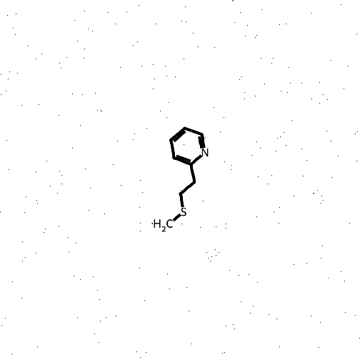 [CH2]SCCc1ccccn1